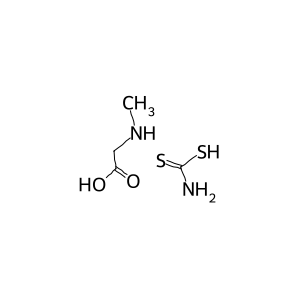 CNCC(=O)O.NC(=S)S